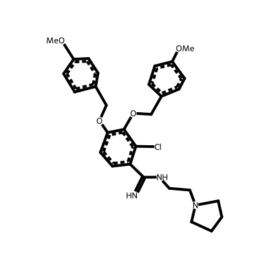 COc1ccc(COc2ccc(C(=N)NCCN3CCCC3)c(Cl)c2OCc2ccc(OC)cc2)cc1